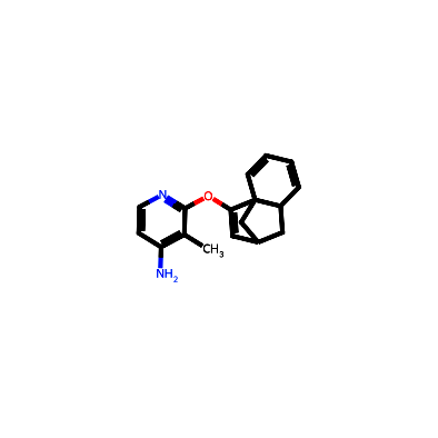 Cc1c(N)ccnc1OC1=CC2CC3C=CC=CC13C2